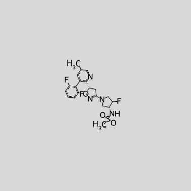 Cc1cnc([C@@H]2CC(N3C[C@@H](F)[C@H](NS(C)(=O)=O)C3)=NO2)c(-c2c(F)cccc2F)c1